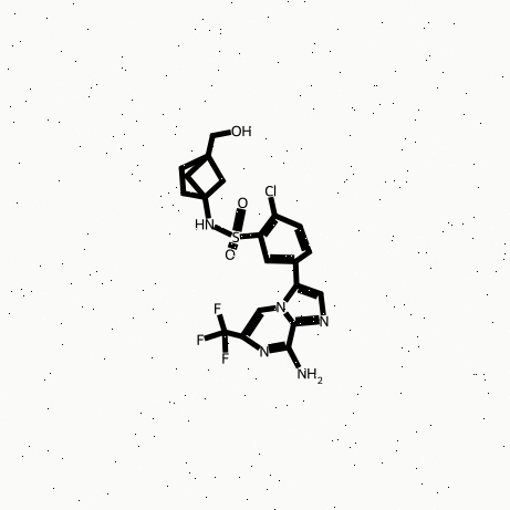 Nc1nc(C(F)(F)F)cn2c(-c3ccc(Cl)c(S(=O)(=O)NC45CCC(CO)(C4)C5)c3)cnc12